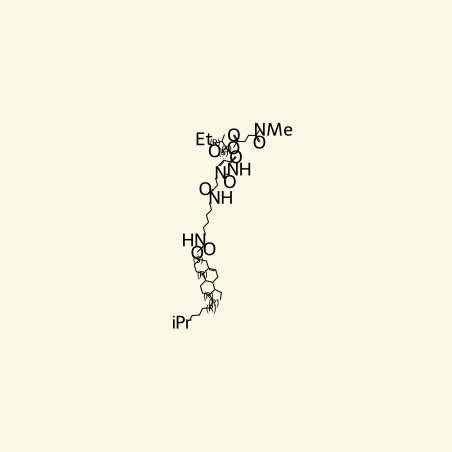 CC[C@H]1O[C@@H](c2cn(CCC(=O)NCCCCCCNC(=O)O[C@H]3CC[C@@]4(C)C(=CCC5C4CC[C@@]4(C)C5CC[C@@H]4[C@H](C)CCCC(C)C)C3)c(=O)[nH]c2=O)[C@@H](OC(=O)CCC(=O)NC)C1C